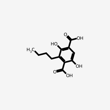 CCCCc1c(O)c(C(=O)O)cc(O)c1C(=O)O